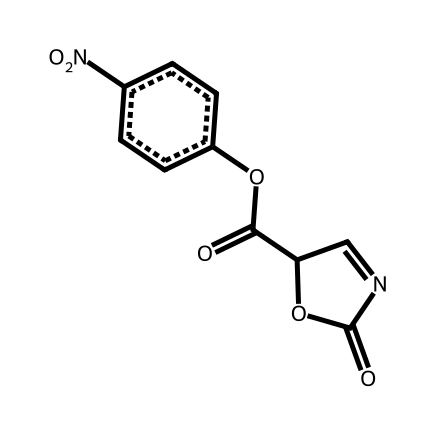 O=C1N=CC(C(=O)Oc2ccc([N+](=O)[O-])cc2)O1